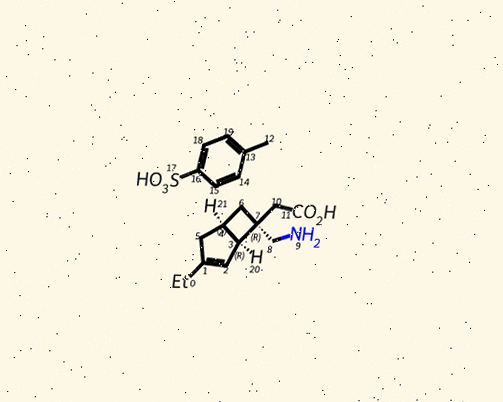 CCC1=C[C@H]2[C@@H](C1)C[C@@]2(CN)CC(=O)O.Cc1ccc(S(=O)(=O)O)cc1